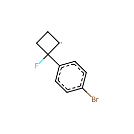 FC1(c2ccc(Br)cc2)[CH]CC1